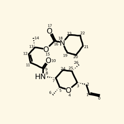 C=CC[C@@H]1O[C@H](C)[C@H](NC(=O)/C=C\[C@H](C)OC(=O)N2CCCCC2)C[C@@H]1C